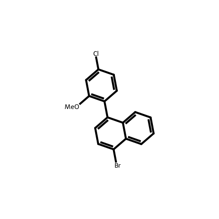 COc1cc(Cl)ccc1-c1ccc(Br)c2ccccc12